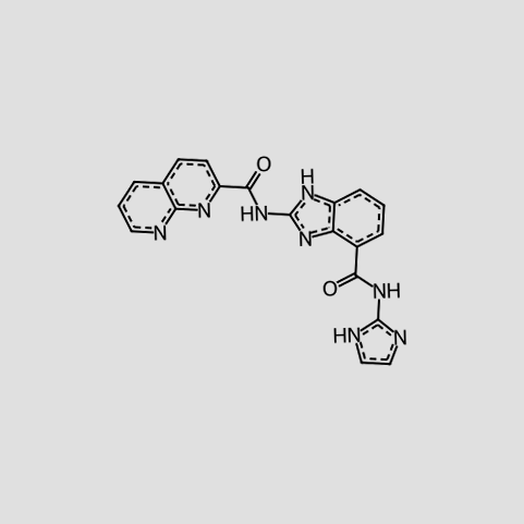 O=C(Nc1nc2c(C(=O)Nc3ncc[nH]3)cccc2[nH]1)c1ccc2cccnc2n1